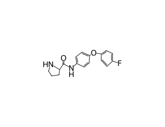 O=C(Nc1ccc(Oc2ccc(F)cc2)cc1)C1CCCN1